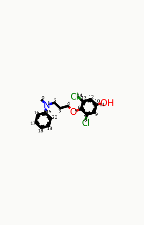 CN(CCCOc1c(Cl)cc(O)cc1Cl)c1ccccc1